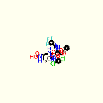 Cc1nc([C@H]2OC3CO[C@H](c4ccccc4)OC3[C@@H](n3cc(-c4cc(F)c(F)c(F)c4)nn3)[C@@H]2OC(=O)NCCCCNC(=O)O)n(-c2cc(Cl)ccc2Cl)n1